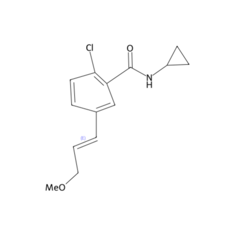 COC/C=C/c1ccc(Cl)c(C(=O)NC2CC2)c1